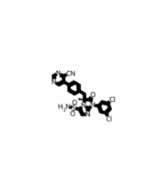 C[C@@]1(Cc2ccc(-c3cncnc3C#N)cc2)C(=O)N(c2cc(Cl)cc(Cl)c2)c2ncc(S(N)(=O)=O)n21